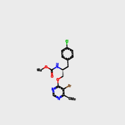 COc1ncnc(OC[C@@H](Cc2ccc(Cl)cc2)NC(=O)OC(C)(C)C)c1Br